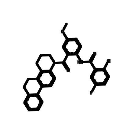 COc1ccc(NC(=O)c2cc(F)ccc2Cl)c(C(=O)C2CCCc3c2ccc2c3CCc3ccccc3-2)c1